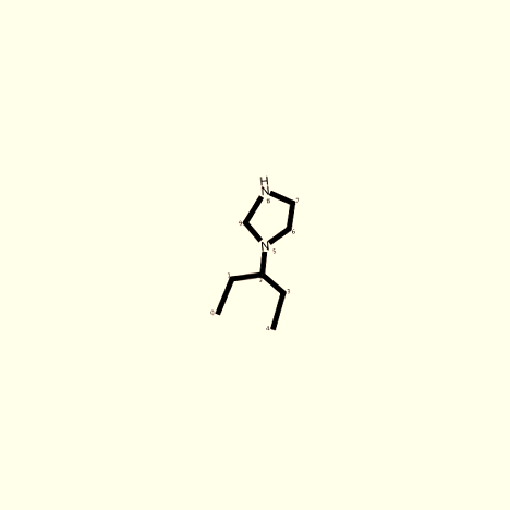 CCC(CC)N1CCNC1